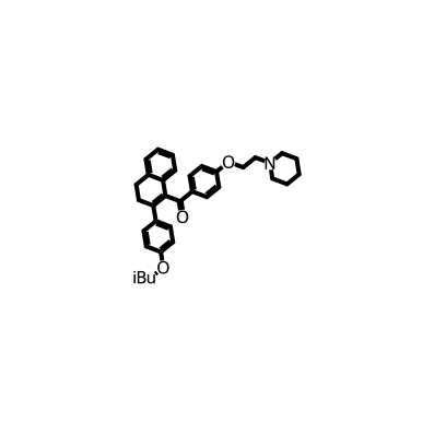 CCC(C)Oc1ccc(C2=C(C(=O)c3ccc(OCCN4CCCCC4)cc3)c3ccccc3CC2)cc1